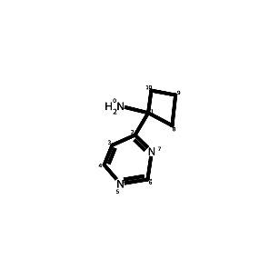 NC1(c2ccn[c]n2)CCC1